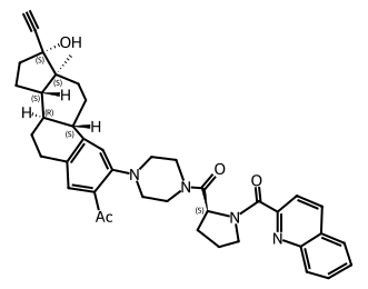 C#C[C@]1(O)CC[C@H]2[C@@H]3CCc4cc(C(C)=O)c(N5CCN(C(=O)[C@@H]6CCCN6C(=O)c6ccc7ccccc7n6)CC5)cc4[C@H]3CC[C@@]21C